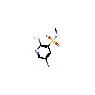 CNS(=O)(=O)c1cc(Br)cnc1N